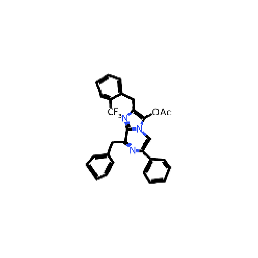 CC(=O)Oc1c(Cc2ccccc2C(F)(F)F)nc2c(Cc3ccccc3)nc(-c3ccccc3)cn12